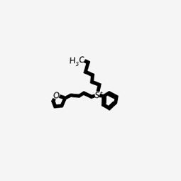 CCCCCC[S+](CCCCC1CCCO1)c1ccccc1